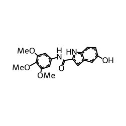 COc1cc(NC(=O)c2cc3cc(O)ccc3[nH]2)cc(OC)c1OC